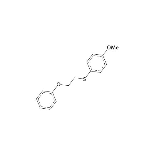 COc1ccc(SCCOc2ccccc2)cc1